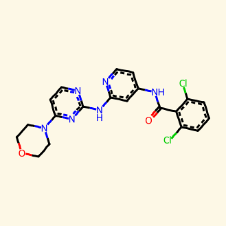 O=C(Nc1ccnc(Nc2nccc(N3CCOCC3)n2)c1)c1c(Cl)cccc1Cl